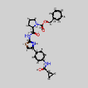 O=C(Nc1ccc(-c2csc(NC(=O)C3CCCN3C(=O)OCc3ccccc3)n2)cc1)C1CC1